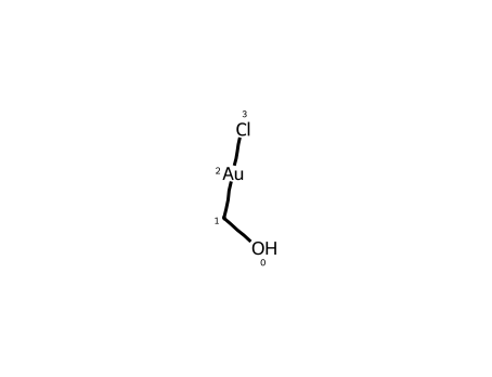 O[CH2][Au][Cl]